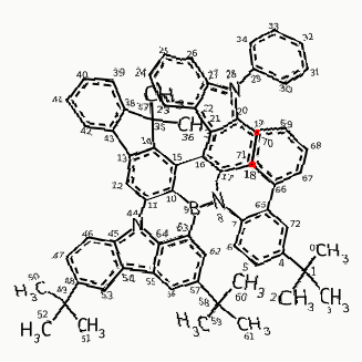 CC(C)(C)c1ccc(N2B3c4c(cc5c(c4-c4c2ccc2c4c4ccccc4n2-c2ccccc2)C(C)(C)c2ccccc2-5)-n2c4ccc(C(C)(C)C)cc4c4cc(C(C)(C)C)cc3c42)c(-c2ccccc2)c1